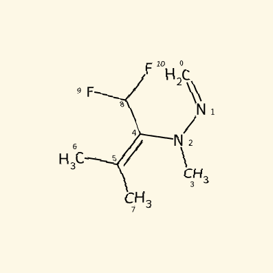 C=NN(C)C(=C(C)C)C(F)F